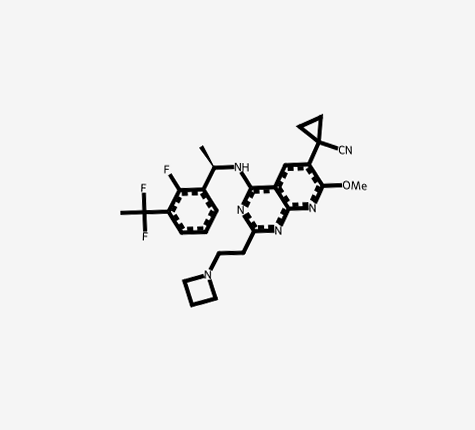 COc1nc2nc(CCN3CCC3)nc(N[C@H](C)c3cccc(C(C)(F)F)c3F)c2cc1C1(C#N)CC1